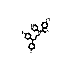 Fc1ccc(C(CCCN(c2ccncc2)c2csc3cc(Cl)ccc23)c2ccc(F)cc2)cc1